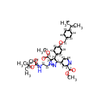 COC(=O)c1cc(-c2nn(CCNC(=O)OC(C)(C)C)c(C(=O)OC)c2-c2ccc(OCc3ccc(C(C)C)cc3)cc2)ccn1